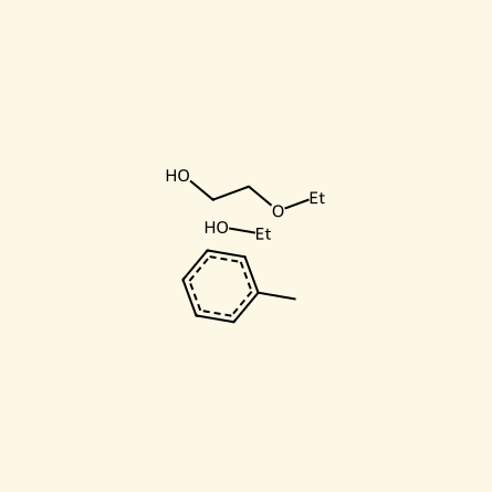 CCO.CCOCCO.Cc1ccccc1